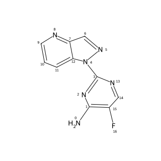 Nc1nc(-n2ncc3ncccc32)ncc1F